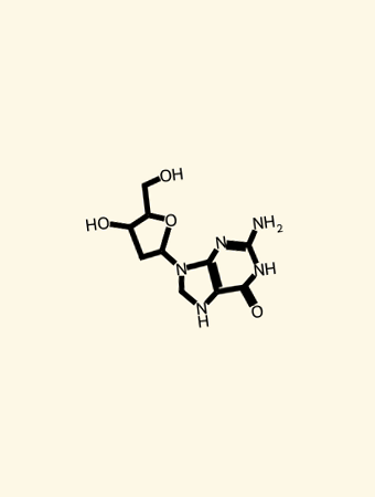 Nc1nc2c(c(=O)[nH]1)NCN2C1CC(O)C(CO)O1